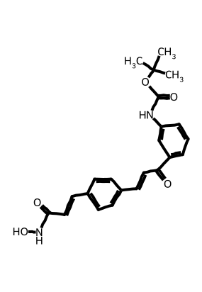 CC(C)(C)OC(=O)Nc1cccc(C(=O)/C=C/c2ccc(/C=C/C(=O)NO)cc2)c1